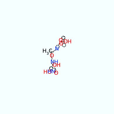 CC(=CCCN1CCC(COC(=O)C(O)(c2ccccc2)C2CCCCC2)CC1)COCCCNCC(O)c1ccc(O)c2[nH]c(=O)ccc12